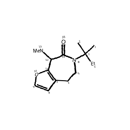 CCC(C)(C)N1CCc2ccoc2C(NC)C1=O